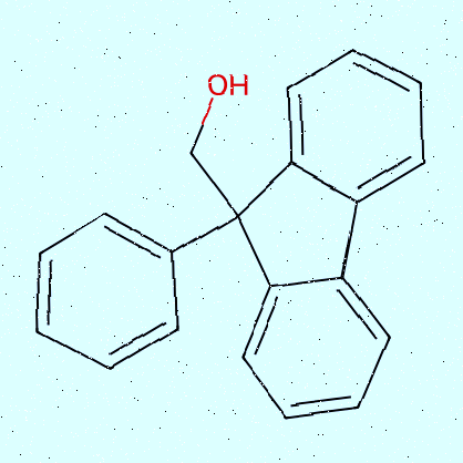 OCC1(c2ccccc2)c2ccccc2-c2ccccc21